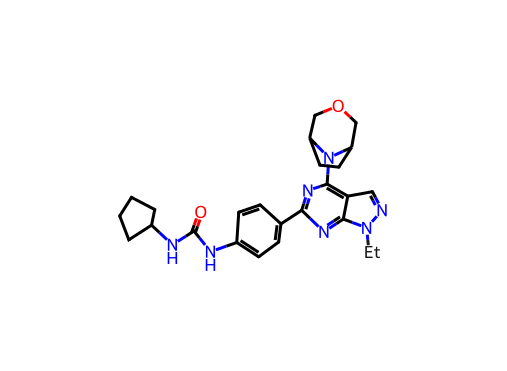 CCn1ncc2c(N3C4CCC3COC4)nc(-c3ccc(NC(=O)NC4CCCC4)cc3)nc21